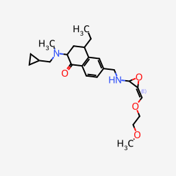 CCC1CC(N(C)CC2CC2)C(=O)c2ccc(CNC3O/C3=C/OCCOC)cc21